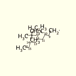 CC(C)CC(C)(C)C.[CH2]CCCCCCCC